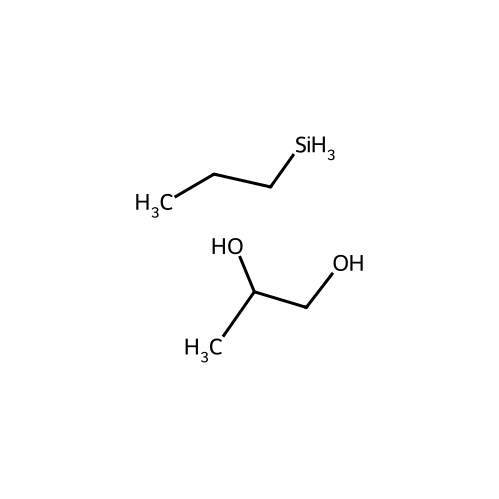 CC(O)CO.CCC[SiH3]